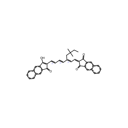 CCC(C)(C)CC(/C=C/C=C/C1=C(O)c2cc3ccccc3cc2C1=O)=C\C=C1C(=O)c2cc3ccccc3cc2C1=O